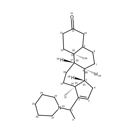 CC(C1=CC[C@H]2[C@@H]3CCC4CC(=O)CC[C@]4(C)[C@H]3CC[C@]12C)N1CCCCC1